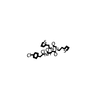 O=C(CC1C(=O)N(CCc2cccs2)CC(=O)N1CCc1cccs1)NC(Cl)Cc1ccc(Cl)cc1